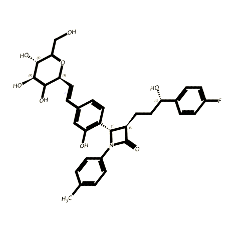 Cc1ccc(N2C(=O)[C@H](CC[C@H](O)c3ccc(F)cc3)[C@H]2c2ccc(/C=C/[C@@H]3OC(CO)[C@@H](O)[C@H](O)C3O)cc2O)cc1